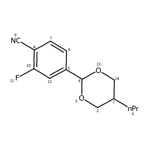 CCCC1COC(c2ccc(C#N)c(F)c2)OC1